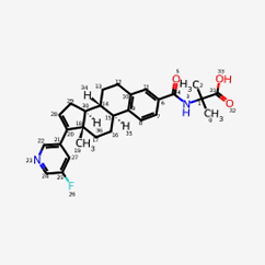 CC(C)(NC(=O)c1ccc2c(c1)CC[C@@H]1[C@@H]2CC[C@]2(C)C(c3cncc(F)c3)=CC[C@@H]12)C(=O)O